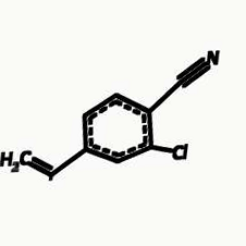 C=[C]c1ccc(C#N)c(Cl)c1